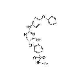 Cc1cnc(Nc2ccc(Oc3ccccc3)cc2)nc1Nc1ccc(S(=O)(=O)NC(C)C)cc1